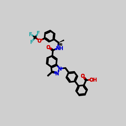 Cc1nn(Cc2ccc(-c3ccccc3C(=O)O)cc2)c2cc(C(=O)N[C@@H](C)c3cccc(OC(F)(F)F)c3)ccc12